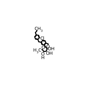 CCCc1ccc(Cc2cc3c(cc2Cl)CO[C@]32O[C@H](C)[C@@H](O)[C@H](O)[C@H]2O)cc1